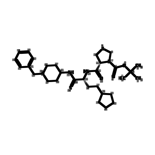 CC(C)(C)OC(=O)N1CSC[C@H]1C(=O)N[C@H](CCC1CCCC1)C(=S)NC1CCN(Cc2ccccc2)CC1